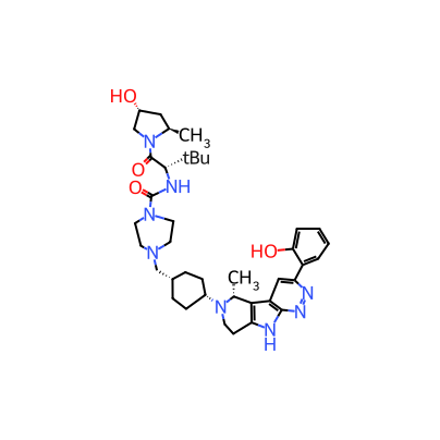 C[C@@H]1C[C@@H](O)CN1C(=O)[C@@H](NC(=O)N1CCN(C[C@H]2CC[C@@H](N3CCc4[nH]c5nnc(-c6ccccc6O)cc5c4[C@H]3C)CC2)CC1)C(C)(C)C